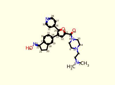 CN(C)CCN1CCN(C(=O)c2cc(-c3ccc4c(c3)CCC4=NO)c(-c3ccncc3)o2)CC1